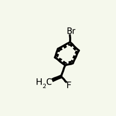 C=C(F)c1ccc(Br)cc1